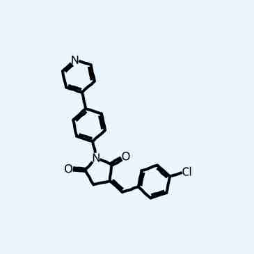 O=C1CC(=Cc2ccc(Cl)cc2)C(=O)N1c1ccc(-c2ccncc2)cc1